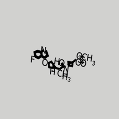 CC(C(=O)NC12CC(COS(C)(=O)=O)(C1)C2)C1[C@H]2CC(Oc3ccnc4ccc(F)cc34)C[C@@H]12